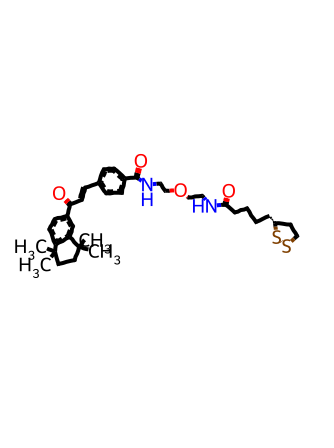 CC1(C)CCC(C)(C)c2cc(C(=O)/C=C/c3ccc(C(=O)NCCOCCNC(=O)CCCC[C@@H]4CCSS4)cc3)ccc21